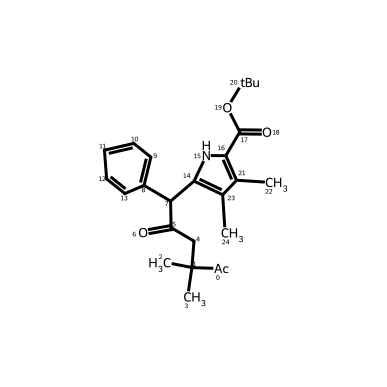 CC(=O)C(C)(C)CC(=O)C(c1ccccc1)c1[nH]c(C(=O)OC(C)(C)C)c(C)c1C